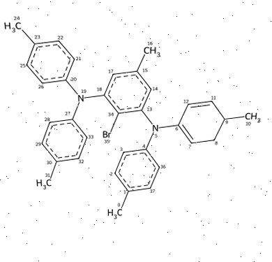 Cc1ccc(N(C2=CCC(C)C=C2)c2cc(C)cc(N(c3ccc(C)cc3)c3ccc(C)cc3)c2Br)cc1